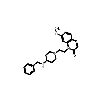 COc1ccc2ncc(=O)n(CCN3CCC(NCc4ccccc4)CC3)c2c1